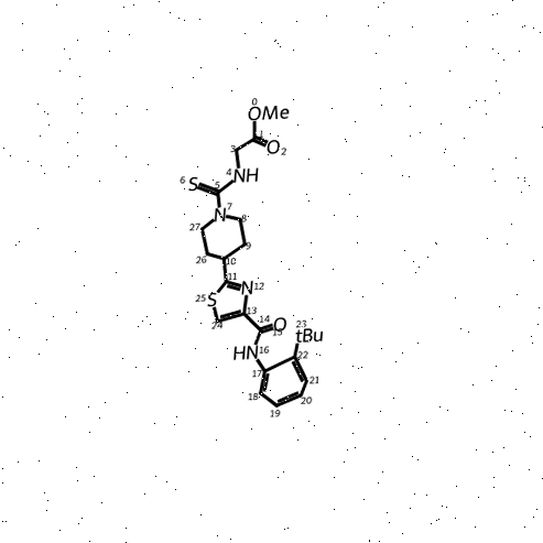 COC(=O)CNC(=S)N1CCC(c2nc(C(=O)Nc3ccccc3C(C)(C)C)cs2)CC1